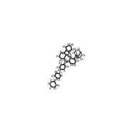 c1ccc(-c2ccc(-c3ccc(N(c4cccc(C56CC7CC(CC(C7)C5)C6)c4)c4cccc5c4oc4ccccc45)cc3)cc2)cc1